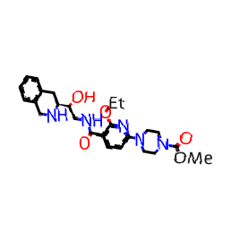 CCOc1nc(N2CCN(C(=O)OC)CC2)ccc1C(=O)NCC(O)[C@@H]1Cc2ccccc2CN1